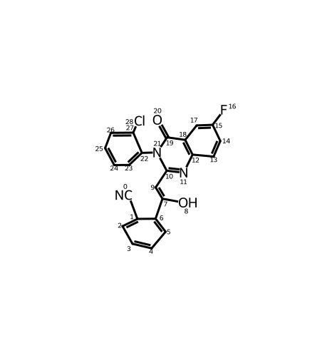 N#Cc1ccccc1C(O)=Cc1nc2ccc(F)cc2c(=O)n1-c1ccccc1Cl